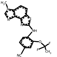 Cn1cnc2c3nc(Nc4ccc(C#N)cc4OC(C)(F)F)sc3ccc21